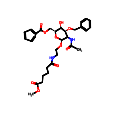 COC(=O)CCCCC(=O)NCCO[C@H]1O[C@H](COC(=O)c2ccccc2)[C@H](O)[C@H](OCc2ccccc2)[C@H]1NC(C)=O